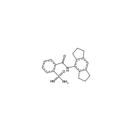 N=S(N)(=O)c1ccccc1C(=O)Nc1c2c(cc3c1CCC3)CCC2